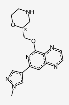 Cn1cc(-c2cc3nccnc3c(OC[C@H]3CNCCO3)n2)cn1